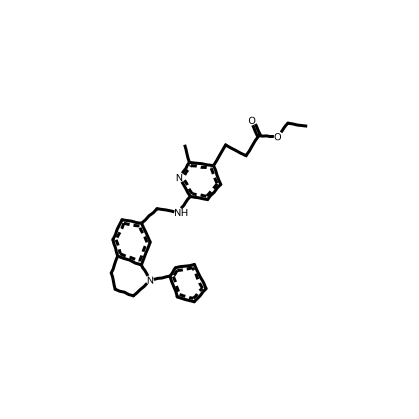 CCOC(=O)CCc1ccc(NCc2ccc3c(c2)N(c2ccccc2)CCC3)nc1C